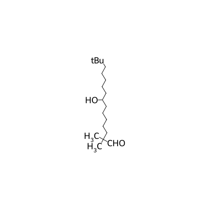 CC(C)(C)CCCCCC(O)CCCCCC(C)(C)C=O